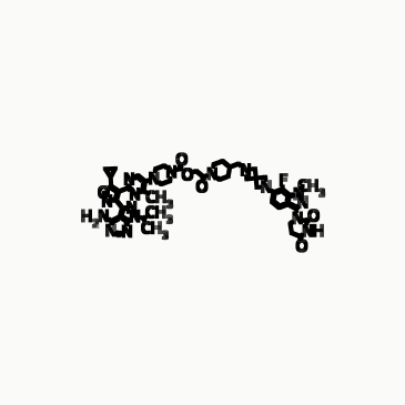 Cc1nc(-c2c(-c3nn(C(C)C)c4ncnc(N)c34)noc2C2CC2)ncc1N1CCN(C(=O)OCC(=O)N2CCC(CN3CC4(C3)CN(c3ccc5c(N6CCC(=O)NC6=O)nn(C)c5c3F)C4)CC2)CC1